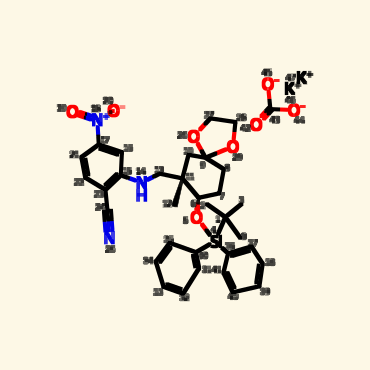 CC(C)(C)[Si](O[C@@H]1CCC2(C[C@@]1(C)CNc1cc([N+](=O)[O-])ccc1C#N)OCCO2)(c1ccccc1)c1ccccc1.O=C([O-])[O-].[K+].[K+]